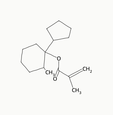 C=C(C)C(=O)OC1(C2CCCC2)CCCCC1C